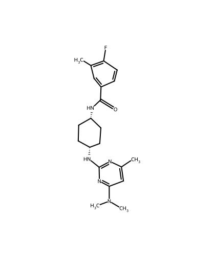 Cc1cc(N(C)C)nc(N[C@H]2CC[C@@H](NC(=O)c3ccc(F)c(C)c3)CC2)n1